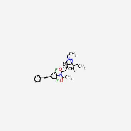 CCCc1nn(CC)cc1C(C)(C)CC(=O)N(C(C)=O)c1c(F)cc(C#Cc2ccccc2)cc1F